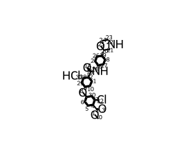 COC(=O)c1ccc(Oc2ccc(C(=O)Nc3ccc([C@@H]4CNCCO4)cc3)cc2)cc1Cl.Cl